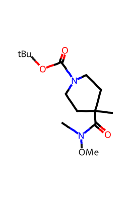 CON(C)C(=O)C1(C)CCN(C(=O)OC(C)(C)C)CC1